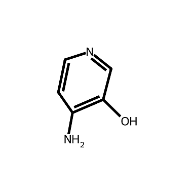 Nc1ccncc1O